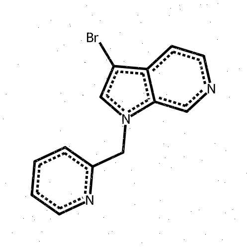 Brc1cn(Cc2ccccn2)c2cnccc12